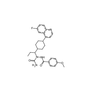 CCC(C1CCC(c2ccnc3ccc(F)cc23)CC1)N(NC(=O)c1ccc(OC)cc1)C(N)=O